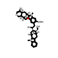 COc1cc2c(cc1CC(C(C)=O)[C@@H]1C[C@H]3c4c(c5ccccc5n4C)C[C@@H]([C@@H]1CO)N3C)c1c(n2C)[C@@H]2C[C@H]3C(C(C)=O)=COC[C@H]3[C@H](C1)N2C